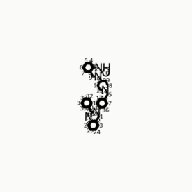 O=C1Nc2ccccc2CN1C1CCN(Cc2ccc(N3Cc4ccccc4N=C3c3ccccc3)cc2)CC1